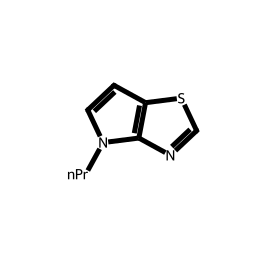 CCCn1ccc2scnc21